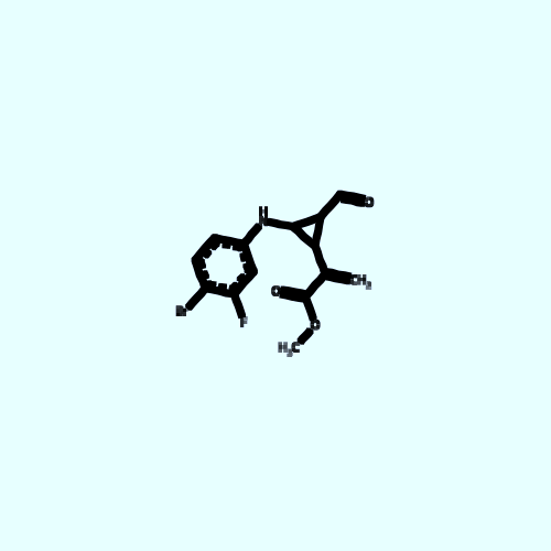 C=C(C(=O)OC)C1C(C=O)C1Nc1ccc(Br)c(F)c1